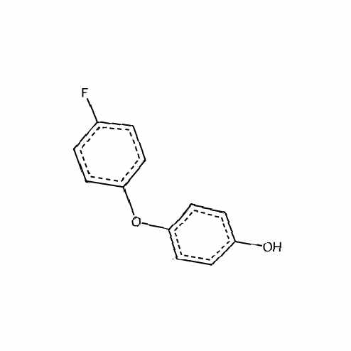 Oc1c[c]c(Oc2ccc(F)cc2)cc1